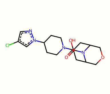 O=C(O)N1C2COCC1CC(N1CCC(n3cc(Cl)cn3)CC1)C2